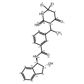 CCC1(CC)CC(=O)N(C(C)c2cccc(C(=O)N[C@@H]3c4ccccc4C[C@H]3O)c2)C(=N)N1